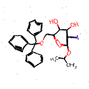 CC(C)OC1OC(COC(c2ccccc2)(c2ccccc2)c2ccccc2)C(O)C(O)C1I